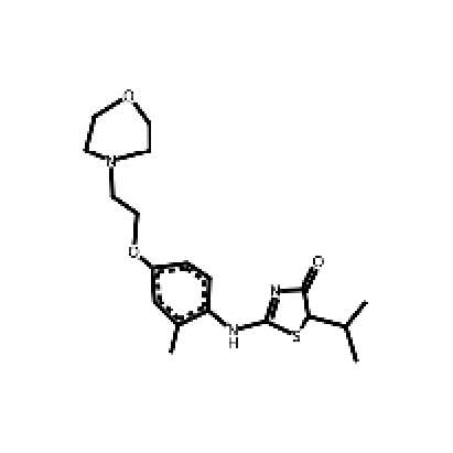 Cc1cc(OCCN2CCOCC2)ccc1NC1=NC(=O)C(C(C)C)S1